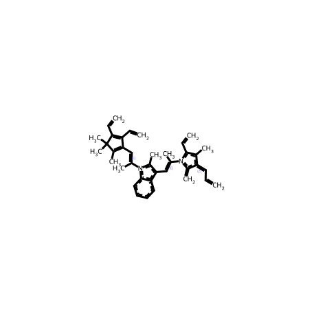 C=C/C=c1/c(C)c(C=C)n(/C(C)=C/c2c(C)n(/C(C)=C/C3=C(C)C(C)(C)C(C=C)=C3C=C)c3ccccc23)c1=C